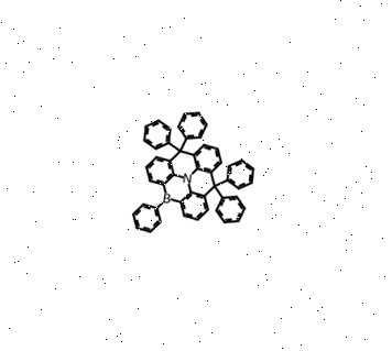 c1ccc(B2c3cccc4c3N3c5c2cccc5C(c2ccccc2)(c2ccccc2)c2cccc(c23)C4(c2ccccc2)c2ccccc2)cc1